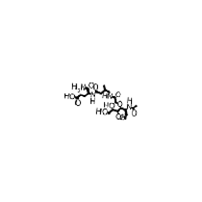 CC(=O)N[C@@H](C=O)[C@@H](OCC(=O)NCC(C)CC(=O)NC(CCC(=O)O)C(N)=O)[C@H](O)[C@H](O)CO